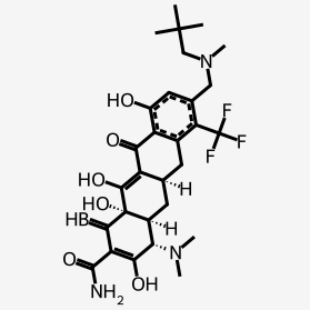 B=C1C(C(N)=O)=C(O)[C@@H](N(C)C)[C@@H]2C[C@@H]3Cc4c(c(O)cc(CN(C)CC(C)(C)C)c4C(F)(F)F)C(=O)C3=C(O)[C@]12O